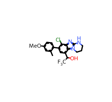 COc1ccc(-c2cc(C(O)C(F)(F)F)c3c(nc4n3CCCN4)c2Cl)c(C)c1